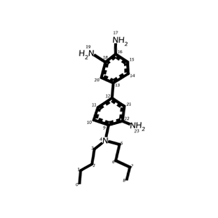 CCCCN(CCCC)c1ccc(-c2ccc(N)c(N)c2)cc1N